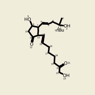 CCCC[C@](C)(O)C/C=C/C1C(O)CC(=O)C1C=CCCCCC(=O)CO